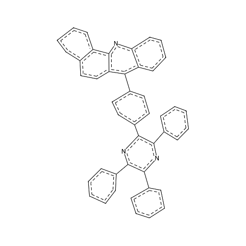 c1ccc(-c2nc(-c3ccccc3)c(-c3ccc(-c4c5ccccc5nc5c4ccc4ccccc45)cc3)nc2-c2ccccc2)cc1